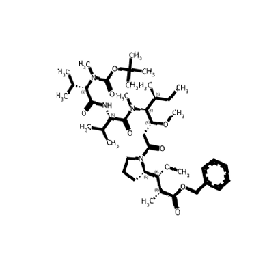 CC[C@H](C)[C@@H]([C@@H](CC(=O)N1CCC[C@H]1[C@H](OC)[C@@H](C)C(=O)OCc1ccccc1)OC)N(C)C(=O)[C@@H](NC(=O)[C@H](C(C)C)N(C)C(=O)OC(C)(C)C)C(C)C